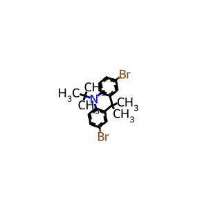 CC1(C)c2cc(Br)ccc2N(C(C)(C)C)c2ccc(Br)cc21